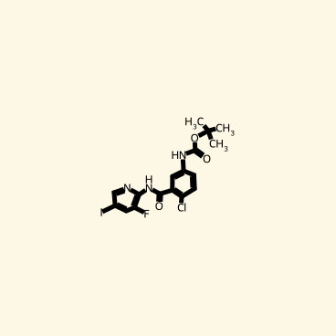 CC(C)(C)OC(=O)Nc1ccc(Cl)c(C(=O)Nc2ncc(I)cc2F)c1